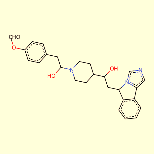 O=COc1ccc(CC(O)N2CCC(C(O)CC3c4ccccc4-c4cncn43)CC2)cc1